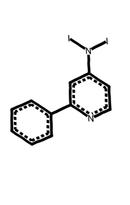 IN(I)c1ccnc(-c2ccccc2)c1